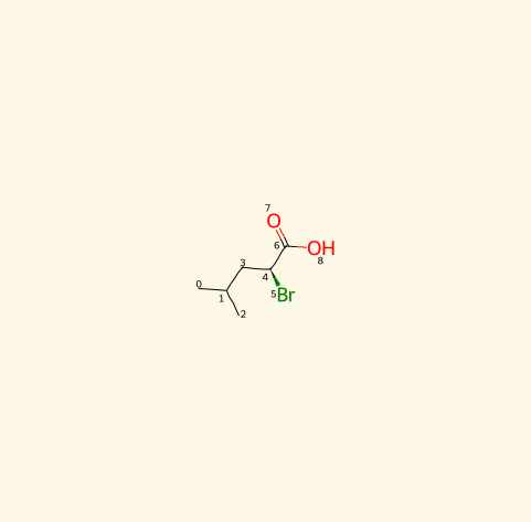 CC(C)C[C@H](Br)C(=O)O